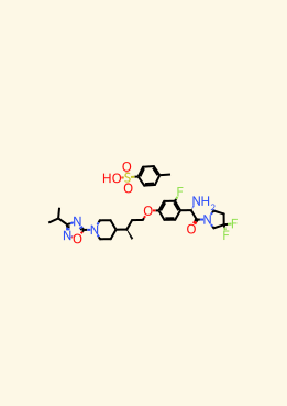 CC(C)c1noc(N2CCC([C@H](C)CCOc3ccc([C@H](N)C(=O)N4CCC(F)(F)C4)c(F)c3)CC2)n1.Cc1ccc(S(=O)(=O)O)cc1